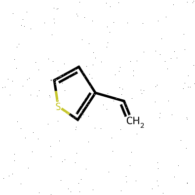 C=Cc1c[c]sc1